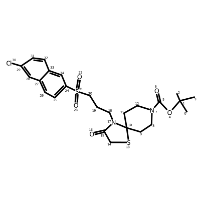 CC(C)(C)OC(=O)N1CCC2(CC1)SCC(=O)N2CCCS(=O)(=O)c1ccc2cc(Cl)ccc2c1